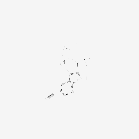 C[N+](C)(C)CC1(OC(=O)C(F)(F)F)CC1c1c[nH]c2ccc(C#N)cc12